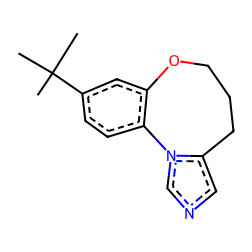 CC(C)(C)c1ccc2c(c1)OCCCc1cncn1-2